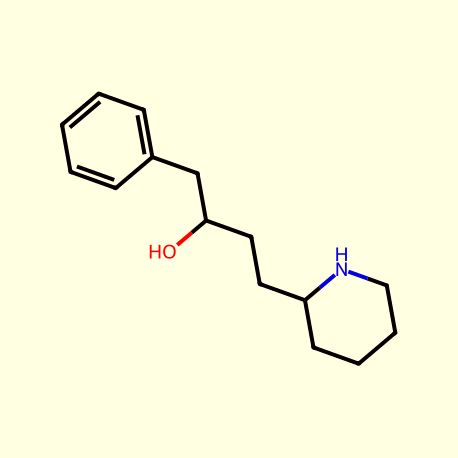 OC(CCC1CCCCN1)Cc1ccccc1